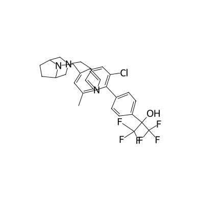 Cc1cc(CN2C3CCC2CN(Cc2ccc(-c4ccc(C(O)(C(F)(F)F)C(F)(F)F)cc4)c(Cl)c2)C3)ccn1